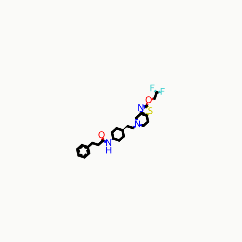 O=C(CCc1ccccc1)N[C@H]1CC[C@H](CCN2CCc3sc(OCC(F)F)nc3C2)CC1